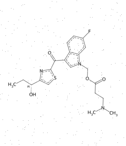 CC[C@@H](O)c1csc(C(=O)c2cn(COC(=O)CCN(C)C)c3cc(F)ccc23)n1